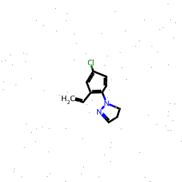 C=Cc1cc(Cl)ccc1N1CCC=N1